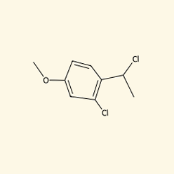 COc1ccc(C(C)Cl)c(Cl)c1